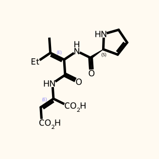 CC/C(C)=C(/NC(=O)[C@@H]1C=CCN1)C(=O)N/C(=C/C(=O)O)C(=O)O